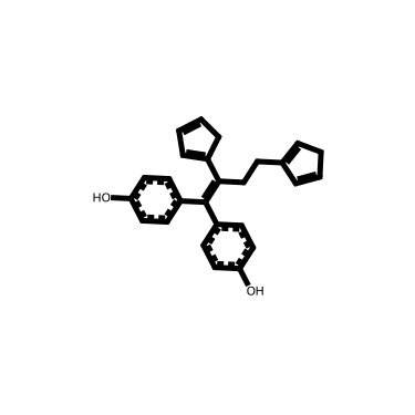 Oc1ccc(C(=C(CCC2=CCC=C2)C2=CC=CC2)c2ccc(O)cc2)cc1